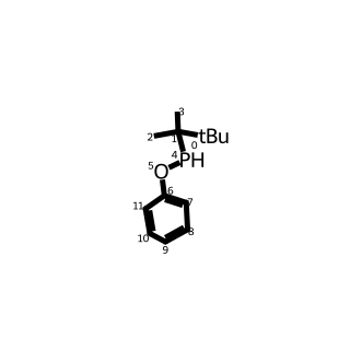 CC(C)(C)C(C)(C)POc1ccccc1